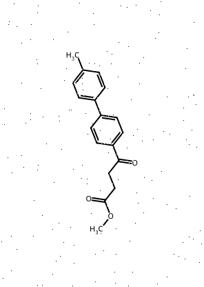 COC(=O)CCC(=O)c1ccc(-c2ccc(C)cc2)cc1